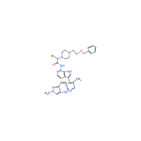 CCC(C(=O)Nc1nccc2c(-c3nc(Nc4cn(C)nc4OC)ncc3C)c[nH]c12)N1CCN(CCOCc2ccccc2)CC1